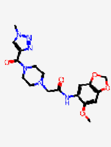 COc1cc2c(cc1NC(=O)CN1CCN(C(=O)c3cn(C)nn3)CC1)OCO2